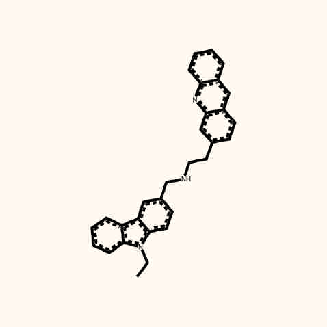 CCn1c2ccccc2c2cc(CNCCc3ccc4cc5ccccc5nc4c3)ccc21